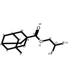 CC12CC3CC(C1)CC(C(=O)OCC(F)F)(C3)C2